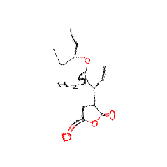 CCC(CC)O[SiH2]C(CC)C1CC(=O)OC1=O